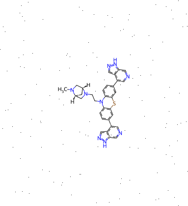 CN1C[C@H]2C[C@@H]1CN2CCN1c2ccc(-c3cncc4[nH]ncc34)cc2Sc2cc(-c3cncc4[nH]ncc34)ccc21